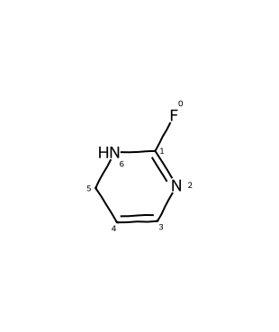 FC1=NC=CCN1